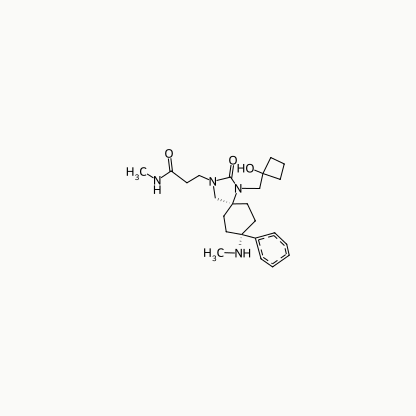 CNC(=O)CCN1C[C@]2(CC[C@](NC)(c3ccccc3)CC2)N(CC2(O)CCC2)C1=O